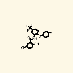 Cc1ccc(Oc2ccc(C(F)(F)F)cc2NC(=O)c2cc(Cl)ccc2O)cc1